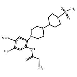 C=CC(=O)Nc1cc(N)c(OC)cc1N1CCN(C2CCN(S(C)(=O)=O)CC2)CC1